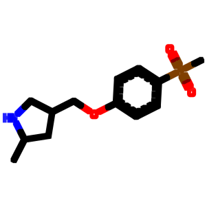 CC1CC(COc2ccc(S(C)(=O)=O)cc2)CN1